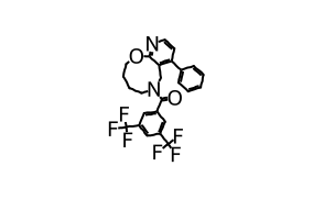 O=C(c1cc(C(F)(F)F)cc(C(F)(F)F)c1)N1CCCCOc2nccc(-c3ccccc3)c2C1